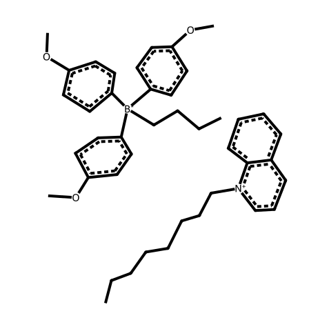 CCCCCCCC[n+]1cccc2ccccc21.CCCC[B-](c1ccc(OC)cc1)(c1ccc(OC)cc1)c1ccc(OC)cc1